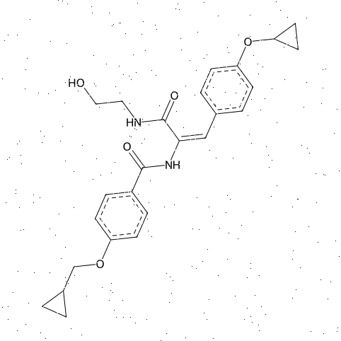 O=C(NCCO)/C(=C\c1ccc(OC2CC2)cc1)NC(=O)c1ccc(OCC2CC2)cc1